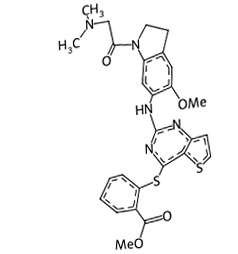 COC(=O)c1ccccc1Sc1nc(Nc2cc3c(cc2OC)CCN3C(=O)CN(C)C)nc2ccsc12